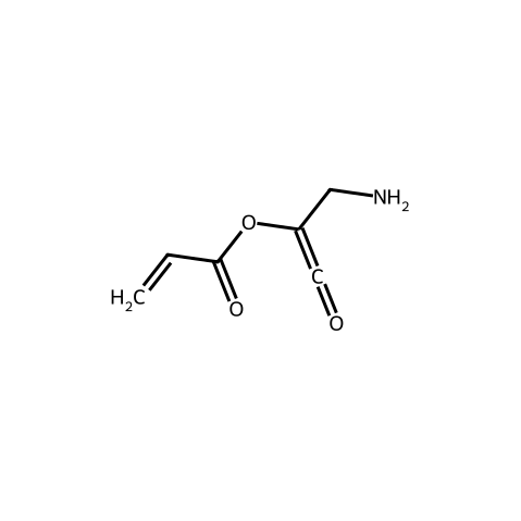 C=CC(=O)OC(=C=O)CN